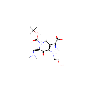 CN(C)/C=C1\C(=O)c2c(c(C(=O)O)nn2CCO)CN1C(=O)OC(C)(C)C